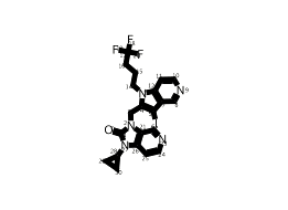 O=c1n(Cc2c(I)c3cnccc3n2CCCC(F)(F)F)c2cnccc2n1C1CC1